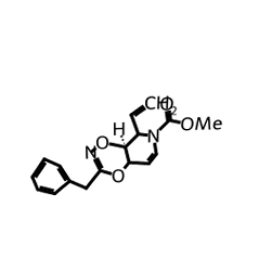 C=CC1[C@@H]2ON=C(Cc3ccccc3)OC2C=CN1C(=O)OC